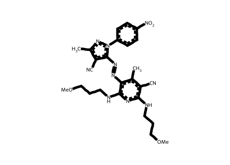 COCCCNc1nc(NCCCOC)c(N=Nc2c(C#N)c(C)nn2-c2ccc([N+](=O)[O-])cc2)c(C)c1C#N